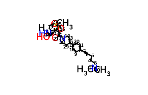 CN(C)CCCC#Cc1ccc(C2=CCN(CCC(C)(C(=O)NO)S(C)(=O)=O)CC2)cc1